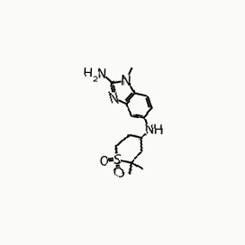 Cn1c(N)nc2cc(N[C@@H]3CCS(=O)(=O)C(C)(C)C3)ccc21